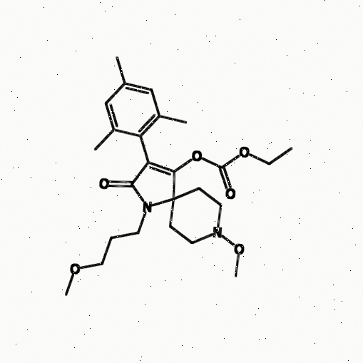 CCOC(=O)OC1=C(c2c(C)cc(C)cc2C)C(=O)N(CCCOC)C12CCN(OC)CC2